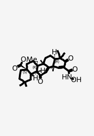 COC(=O)[C@]12CCC(C)(C)C[C@H]1[C@H]1C(=O)C=C3[C@@]4(C)C=C(C(=O)NO)C(=O)C(C)(C)[C@@H]4CC[C@@]3(C)[C@]1(C)CC2